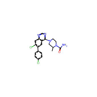 CC1CN(c2ncnc3cc(Cl)c(-c4ccc(Cl)cc4)cc23)CCN1C(N)=O